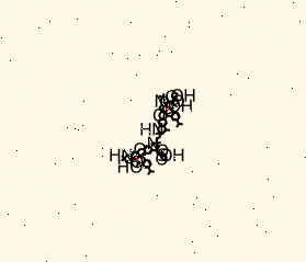 CC1=CC(C)(C)Nc2cc3c(cc21)C(c1ccc(C(C)C)cc1C(=O)O)=c1cc2c(cc1O3)=NC(C)(CCC1(C)C=C(C)c3cc4c(cc3N1)Oc1cc3c(cc1=C4c1cc(C(C)C)ccc1C(=O)O)C(CS(=O)(=O)O)CC(C)(C)N=3)CC2CS(=O)(=O)O